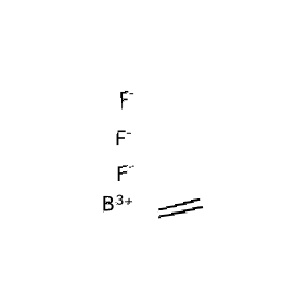 C=C.[B+3].[F-].[F-].[F-]